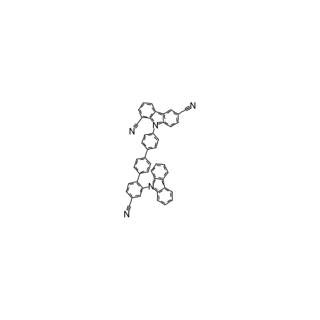 N#Cc1ccc(-c2ccc(-c3ccc(-n4c5ccc(C#N)cc5c5cccc(C#N)c54)cc3)cc2)c(-n2c3ccccc3c3ccccc32)c1